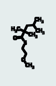 COCCSC(=O)C(C)(C)CC(C)C